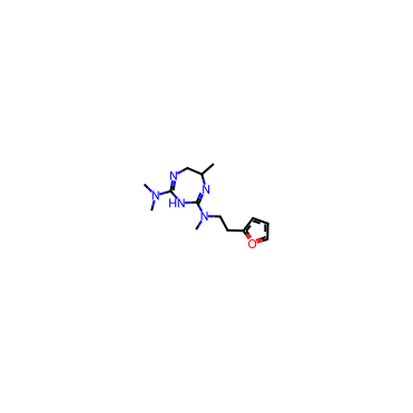 CC1CN=C(N(C)C)NC(N(C)CCc2ccco2)=N1